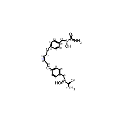 NC(=O)N(O)Cc1ccc(OC/C=C\COc2ccc(CN(O)C(N)=O)cc2)cc1